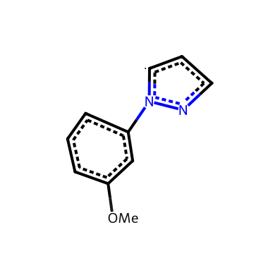 COc1cccc(-n2[c]ccn2)c1